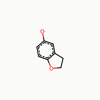 [O]c1ccc2c(c1)CCO2